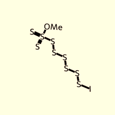 COS(=S)(=S)SSSSSSI